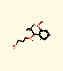 COc1ccccc1C(OCCCO)C(C)C